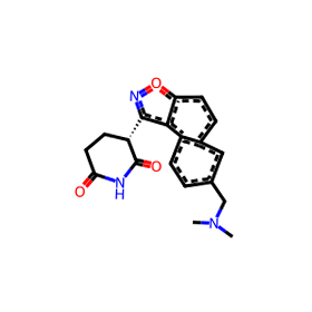 CN(C)Cc1ccc2c(ccc3onc([C@H]4CCC(=O)NC4=O)c32)c1